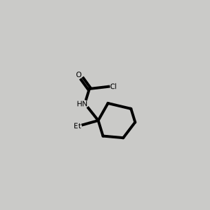 CCC1(NC(=O)Cl)CCCCC1